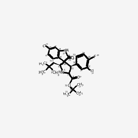 CC(C)(C)C[C@@H]1NC(C(=O)OC(C)(C)C)[C@H](c2ccc(F)c(Cl)c2)C12C(=O)Nc1cc(Cl)ccc12